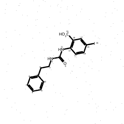 O=C(NCCc1ccccc1)Nc1ccc(I)cc1C(=O)O